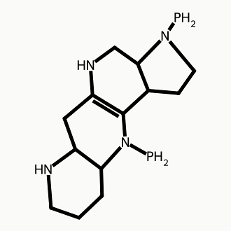 PN1CCC2C3=C(CC4NCCCC4N3P)NCC21